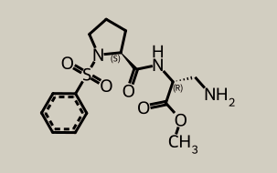 COC(=O)[C@@H](CN)NC(=O)[C@@H]1CCCN1S(=O)(=O)c1ccccc1